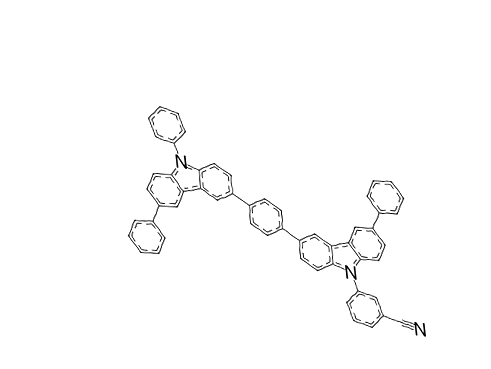 N#Cc1cccc(-n2c3ccc(-c4ccccc4)cc3c3cc(-c4ccc(-c5ccc6c(c5)c5cc(-c7ccccc7)ccc5n6-c5ccccc5)cc4)ccc32)c1